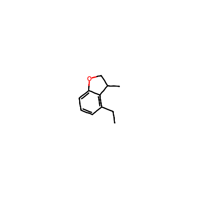 CCc1cccc2c1C(C)CO2